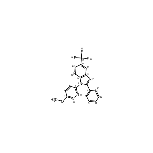 COc1ccc(-n2c(-c3ccccn3)nc3cc(C(F)(F)F)cnc32)nn1